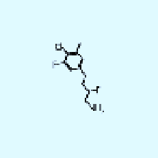 Cc1cc(CC[C@@H](F)CN)cc(F)c1Cl